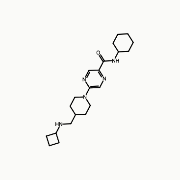 O=C(NC1CCCCC1)c1cnc(N2CCC(CNC3CCC3)CC2)cn1